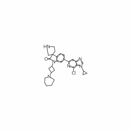 O=C1N(C2CC(N3CCCCC3)C2)c2cc(-c3cc4ncn(C5CC5)c4c(Cl)n3)ccc2C12CCNCC2